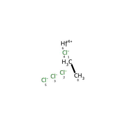 CC.[Cl-].[Cl-].[Cl-].[Cl-].[Hf+4]